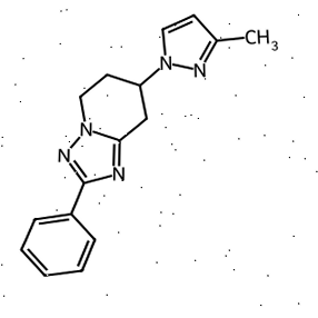 Cc1ccn(C2CCn3nc(-c4ccccc4)nc3C2)n1